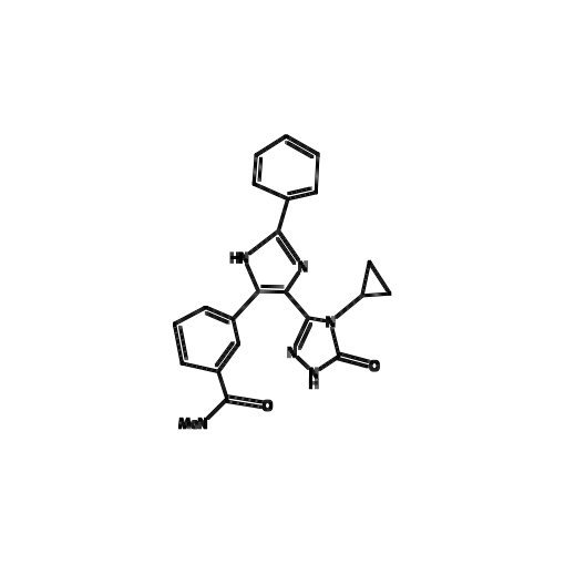 CNC(=O)c1cccc(-c2[nH]c(-c3ccccc3)nc2-c2n[nH]c(=O)n2C2CC2)c1